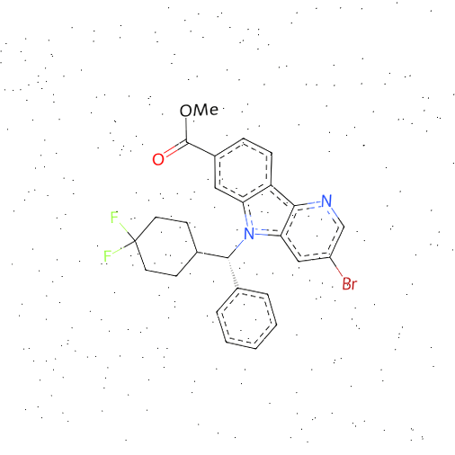 COC(=O)c1ccc2c3ncc(Br)cc3n([C@H](c3ccccc3)C3CCC(F)(F)CC3)c2c1